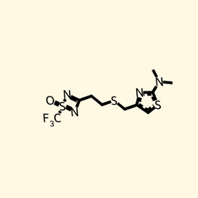 CN(C)c1nc(CSCCC2=NS(=O)(C(F)(F)F)=N2)cs1